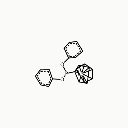 c1ccc(OP(Oc2ccccc2)[C]23[CH]4[CH]5[CH]6[CH]2[Fe]56432789[CH]3[CH]2[CH]7[CH]8[CH]39)cc1